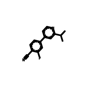 CC(C)c1cc(-c2ccc(C#N)c(F)c2)ccn1